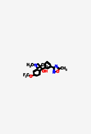 Cc1nc(-c2cccc(C(O)(c3ccc(OC(F)(F)F)cc3)C3(C)CN(C)C3)c2)no1